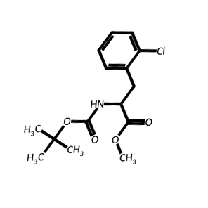 COC(=O)C(Cc1ccccc1Cl)NC(=O)OC(C)(C)C